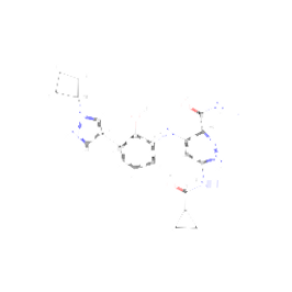 COc1c(Nc2cc(NC(=O)C3CC3)nnc2C(N)=O)cccc1-c1cnn(C2CCC2)c1